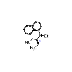 C/C=C(\CC#N)N(CC)c1cccc2ccccc12